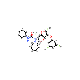 O=C(NC1CCCCC1)N[C@@]1(F)c2oc(F)c(Oc3cc(F)cc(F)c3)c2OC1C1CCCCC1